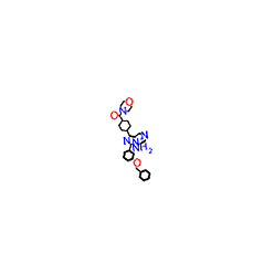 N[N+]12C=CN=CC1=C(C1CCC(C(=O)N3CCOCC3)CC1)N=C2c1cccc(OCc2ccccc2)c1